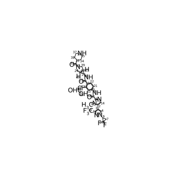 Cn1c(-c2cn(C3CC3(F)F)nc2C(F)(F)F)cnc1C(=O)Nc1ccc(C(=O)NC2[C@H]3CN(C(=O)C4CCNCC4)C[C@@H]23)c(Cl)c1.O=CO